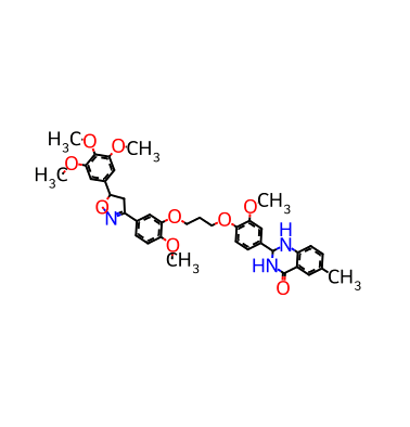 COc1cc(C2NC(=O)c3cc(C)ccc3N2)ccc1OCCCOc1cc(C2=NOC(c3cc(OC)c(OC)c(OC)c3)C2)ccc1OC